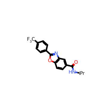 CC(C)NC(=O)c1ccc2oc(-c3ccc(C(F)(F)F)cc3)nc2c1